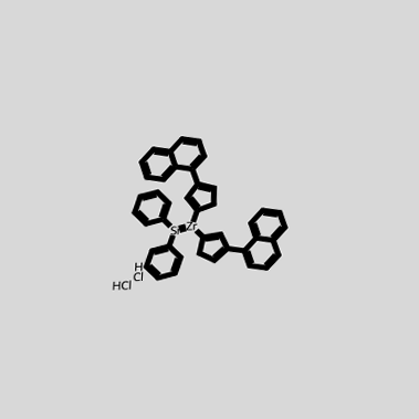 C1=C(c2cccc3ccccc23)C=[C]([Zr]([C]2=CC(c3cccc4ccccc34)=CC2)=[Si](c2ccccc2)c2ccccc2)C1.Cl.Cl